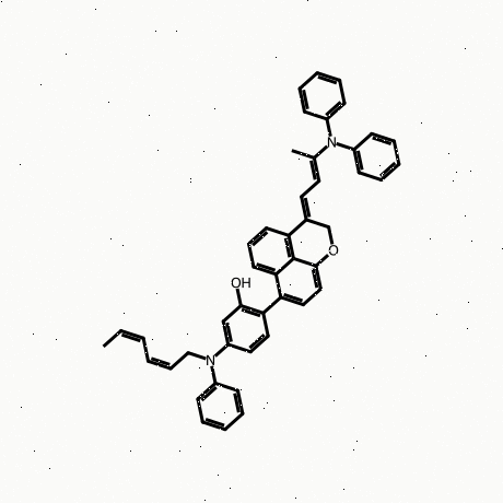 C/C=C\C=C/CN(c1ccccc1)c1ccc(-c2ccc3c4c(cccc24)/C(=C/C=C(\C)N(c2ccccc2)c2ccccc2)CO3)c(O)c1